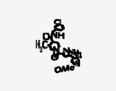 COc1cc(-c2cc(C(=O)N3CCC(C(=O)NCc4cccc(Cl)c4)C(C)C3)n[nH]2)c(Cl)cn1